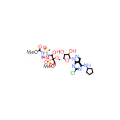 COCC(OC[C@H]1O[C@@H](n2ncc3c(NC4CCCC4)nc(Cl)nc32)[C@H](O)[C@@H]1O)(C(=O)N=S(C)(=O)NC(=O)OC)P(=O)(O)O